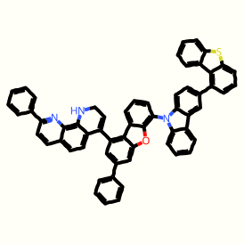 C1=C(c2cc(-c3ccccc3)cc3oc4c(-n5c6ccccc6c6cc(-c7cccc8sc9ccccc9c78)ccc65)cccc4c23)c2ccc3ccc(-c4ccccc4)nc3c2NC1